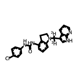 [2H]C([2H])(c1c[nH]c2ncccc12)N1CCc2c(NC(=O)Nc3ccc(Cl)cc3)cccc21